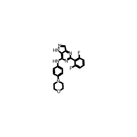 Fc1cccc(F)c1-c1nc(Nc2ccc(N3CCOCC3)cc2)c2[nH]ncc2n1